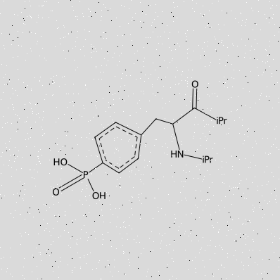 CC(C)NC(Cc1ccc(P(=O)(O)O)cc1)C(=O)C(C)C